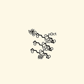 CCCCCCCCC(CCC1CCO1)OC(CCCCCCCC)CCC1CCO1.CCCCCCCCC(CCC1CCO1)OC(CCCCCCCC)CCC1CCO1.CCCCCCCCC(CCC1CCO1)OC(CCCCCCCC)CCC1CCO1.O=P([O-])([O-])[O-].[Na+].[Na+].[Na+]